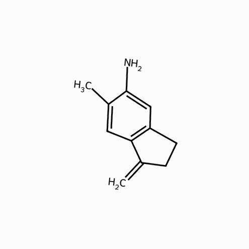 C=C1CCc2cc(N)c(C)cc21